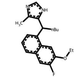 CCCCC(c1[nH]cnc1C)c1cccc2cc(F)c(OCC)cc12